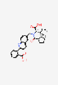 CC(C)[C@@H](C(=O)O)N(Cc1ccc2nc(-c3ccccc3C(=O)O)ccc2c1)C(=O)C1CCCC1